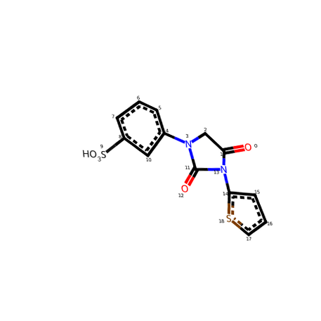 O=C1CN(c2cccc(S(=O)(=O)O)c2)C(=O)N1c1cccs1